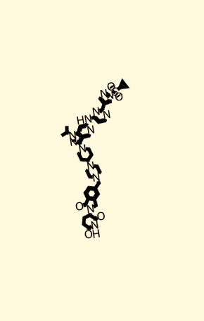 CC(C)n1nc(N2CCC(N3CCN(Cc4ccc5c(c4)CN(C4CCC(=O)NC4=O)C5=O)CC3)CC2)c2cnc(Nc3ccnc(-c4cnn(S(=O)(=O)C5CC5)c4)n3)cc21